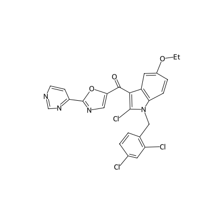 CCOc1ccc2c(c1)c(C(=O)c1cnc(-c3ccncn3)o1)c(Cl)n2Cc1ccc(Cl)cc1Cl